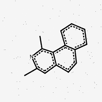 Cc1cc2ccc3ccccc3c2c(C)n1